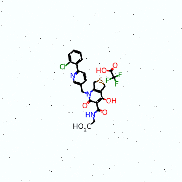 O=C(O)C(F)(F)F.O=C(O)CNC(=O)c1c(O)c2c(n(Cc3ccc(-c4ccccc4Cl)nc3)c1=O)CSC2